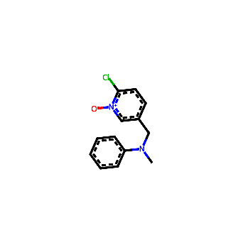 CN(Cc1ccc(Cl)[n+]([O-])c1)c1ccccc1